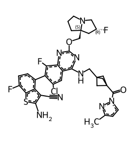 Cc1ccn(C(=O)C23CC(CNc4nc(OC[C@@]56CCCN5C[C@H](F)C6)nc5c(F)c(-c6ccc(F)c7sc(N)c(C#N)c67)c(Cl)cc45)(C2)C3)n1